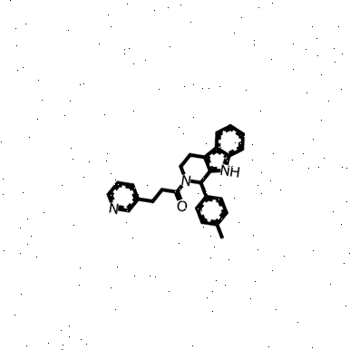 Cc1ccc(C2c3[nH]c4ccccc4c3CCN2C(=O)CCc2cccnc2)cc1